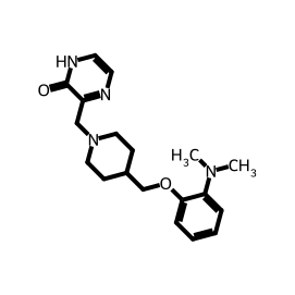 CN(C)c1ccccc1OCC1CCN(Cc2ncc[nH]c2=O)CC1